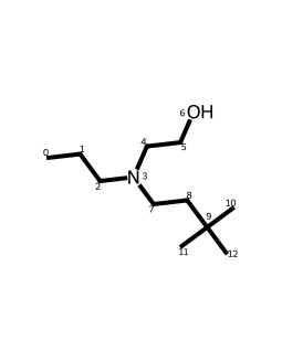 CCCN(CCO)CCC(C)(C)C